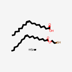 CCCCCCCC/C=C\CCCCCCCC(=O)O.CCCCCCCC/C=C\CCCCCCCC(=O)OCCS.[CH3][SnH]